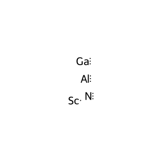 [Al].[Ga].[N].[Sc]